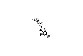 CCOC(=O)CCC1CC1c1c(F)cc(Br)cc1F